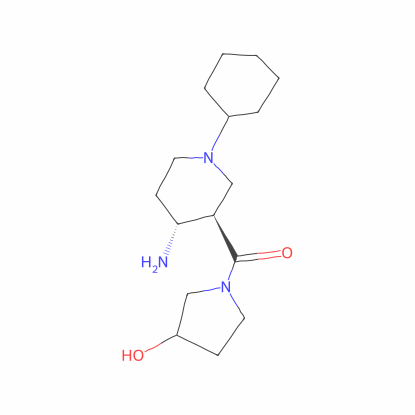 N[C@@H]1CCN(C2CCCCC2)C[C@H]1C(=O)N1CCC(O)C1